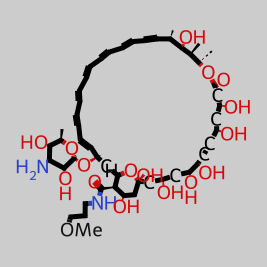 COCCCNC(=O)[C@H]1[C@@H]2C[C@@H](O[C@@H]3O[C@H](C)[C@@H](O)[C@H](N)[C@@H]3O)/C=C/C=C/C=C/C=C/C=C/C=C/C=C/[C@H](C)[C@@H](O)[C@@H](C)[C@H](C)OC(=O)C[C@H](O)C[C@H](O)CC[C@@H](O)[C@H](O)C[C@H](O)C[C@](O)(C[C@@H]1O)O2